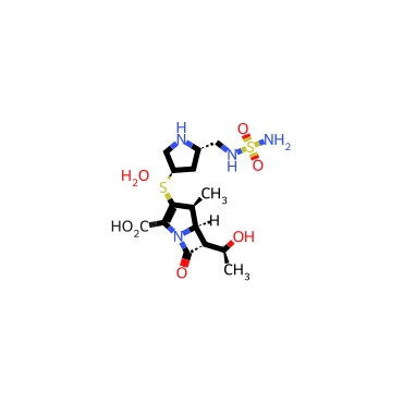 C[C@H](O)[C@@H]1C(=O)N2C(C(=O)O)=C(S[C@@H]3CN[C@H](CNS(N)(=O)=O)C3)[C@@H](C)[C@@H]12.O